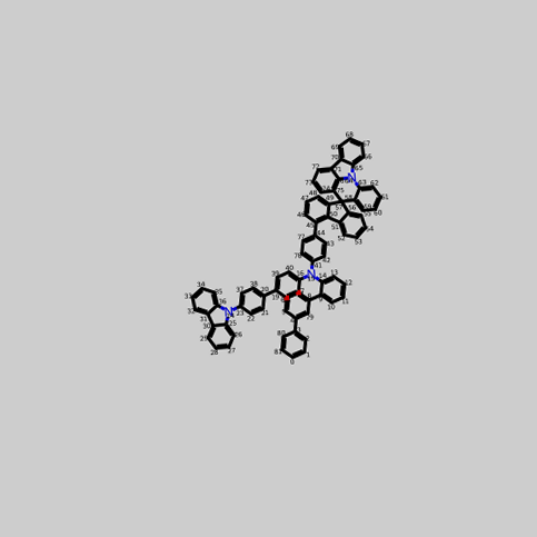 c1ccc(-c2cccc(-c3ccccc3N(c3ccc(-c4ccc(-n5c6ccccc6c6ccccc65)cc4)cc3)c3ccc(-c4cccc5c4-c4ccccc4C54c5ccccc5-n5c6ccccc6c6cccc4c65)cc3)c2)cc1